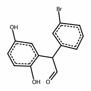 O=CC(c1cccc(Br)c1)c1cc(O)ccc1O